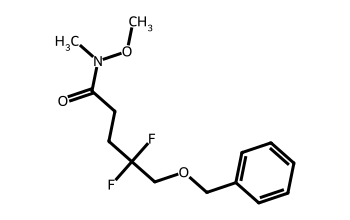 CON(C)C(=O)CCC(F)(F)COCc1ccccc1